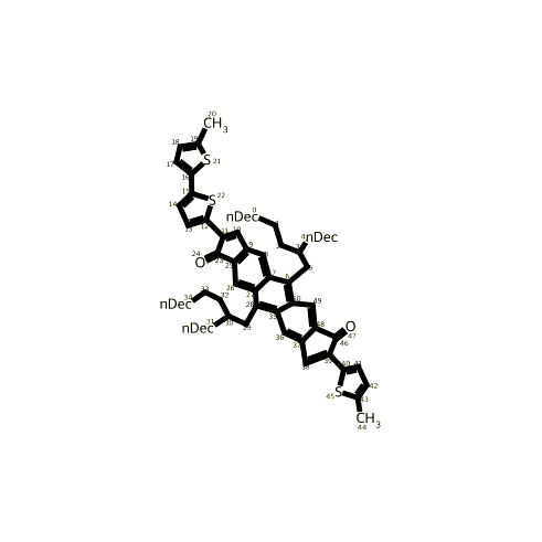 CCCCCCCCCCCCC(CCCCCCCCCC)Cc1c2cc3cc(-c4ccc(-c5ccc(C)s5)s4)c(=O)c3cc2c(CC(CCCCCCCCCC)CCCCCCCCCCCC)c2cc3cc(-c4ccc(C)s4)c(=O)c3cc12